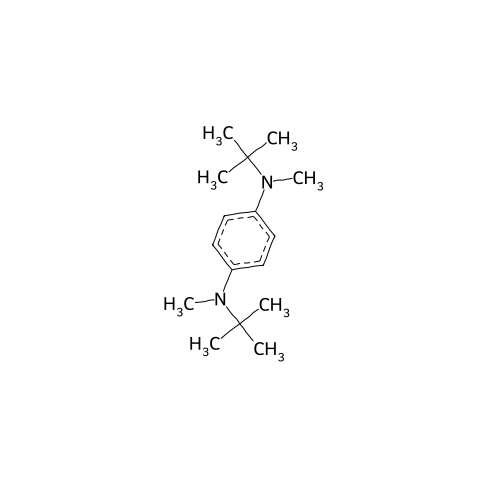 CN(c1ccc(N(C)C(C)(C)C)cc1)C(C)(C)C